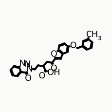 Cc1cccc(COc2ccc3oc(C(=O)CC(CCn4nnc5ccccc5c4=O)C(=O)O)cc3c2)c1